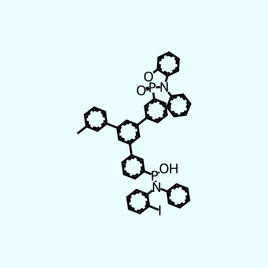 Cc1cccc(-c2cc(-c3cccc(P(O)N(c4ccccc4)c4ccccc4I)c3)cc(-c3cccc(P4(=O)Oc5ccccc5N4c4ccccc4)c3)c2)c1